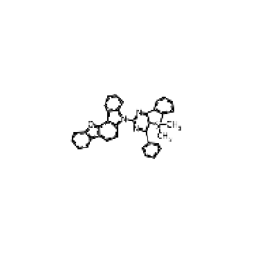 C[Si]1(C)c2ccccc2-c2nc(-n3c4ccccc4c4c5oc6ccccc6c5ccc43)nc(-c3ccccc3)c21